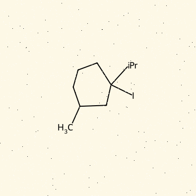 CC1CCCC(I)(C(C)C)C1